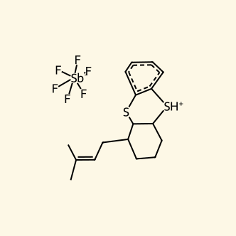 CC(C)=CCC1CCCC2[SH+]c3ccccc3SC12.[F][Sb-]([F])([F])([F])([F])[F]